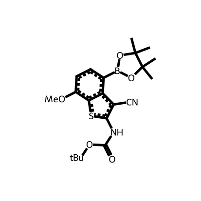 COc1ccc(B2OC(C)(C)C(C)(C)O2)c2c(C#N)c(NC(=O)OC(C)(C)C)sc12